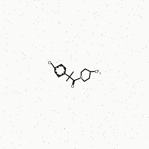 CC(C)(C(=O)N1CCC(C(F)(F)F)CC1)c1ccc(Cl)cc1